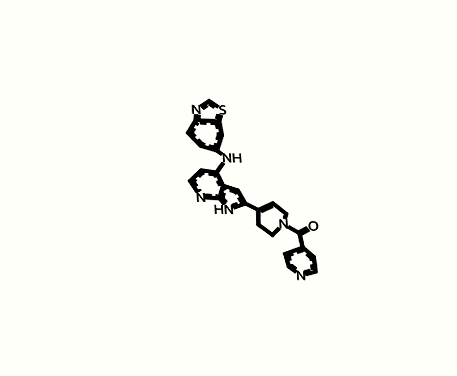 O=C(c1ccncc1)N1CC=C(c2cc3c(Nc4ccc5ncsc5c4)ccnc3[nH]2)CC1